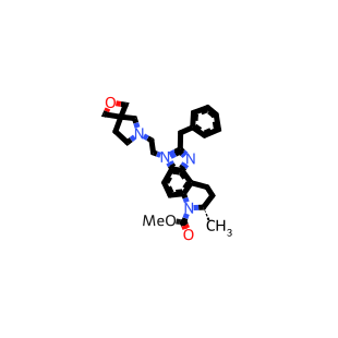 COC(=O)N1c2ccc3c(nc(Cc4ccccc4)n3CCN3CCC4(COC4)C3)c2CC[C@@H]1C